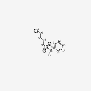 O=S(=O)(CCCCCl)C(I)c1ccccc1